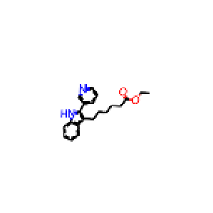 CCOC(=O)CCCCCc1c(-c2cccnc2)[nH]c2ccccc12